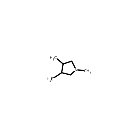 BC1CN(C)CC1C